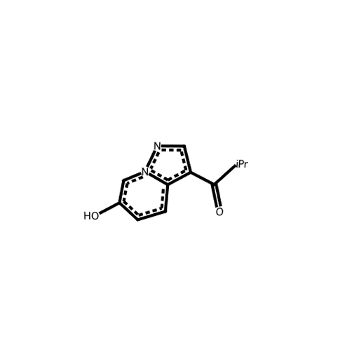 CC(C)C(=O)c1cnn2cc(O)ccc12